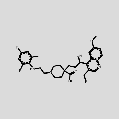 COc1ccc2ncc(CF)c(C(O)CCC3(C(=O)O)CCN(CCNc4c(F)cc(F)cc4F)CC3)c2c1